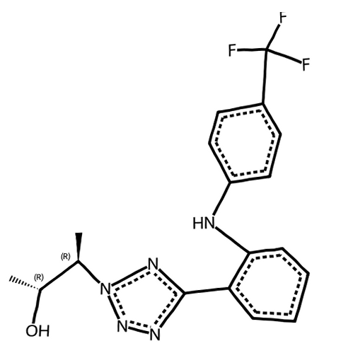 C[C@H]([C@@H](C)O)n1nnc(-c2ccccc2Nc2ccc(C(F)(F)F)cc2)n1